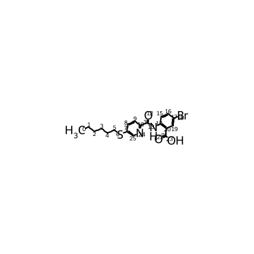 CCCCCCSc1ccc(C(=O)Nc2ccc(Br)cc2C(=O)O)nc1